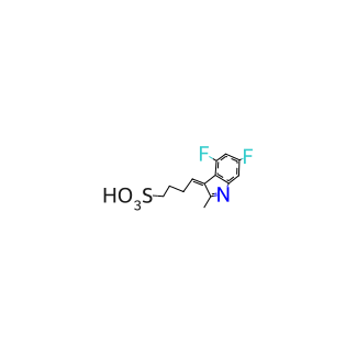 CC1=Nc2cc(F)cc(F)c2/C1=C/CCCS(=O)(=O)O